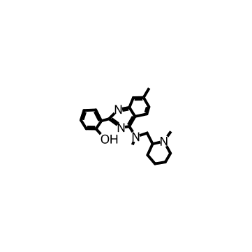 Cc1ccc2c(N(C)CC3CCCCN3C)nc(-c3ccccc3O)nc2c1